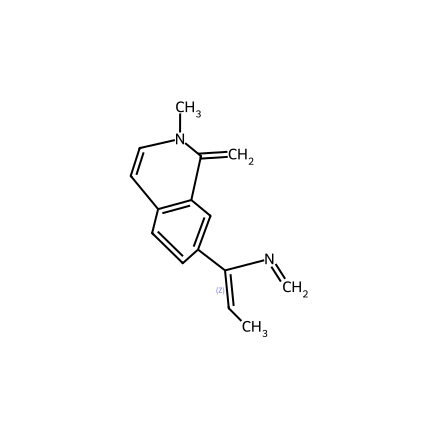 C=N/C(=C\C)c1ccc2c(c1)C(=C)N(C)C=C2